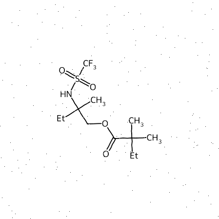 CCC(C)(COC(=O)C(C)(C)CC)NS(=O)(=O)C(F)(F)F